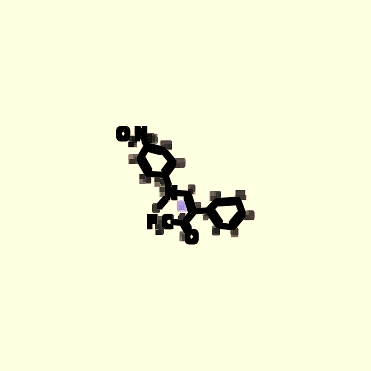 CN(/C=C(\C(=O)C(F)(F)F)c1ccccc1)c1ccc([N+](=O)[O-])cc1